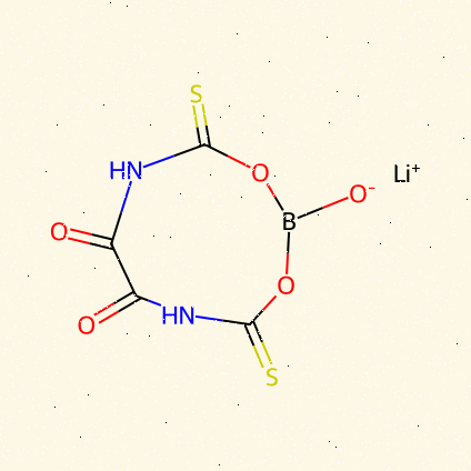 O=C1NC(=S)OB([O-])OC(=S)NC1=O.[Li+]